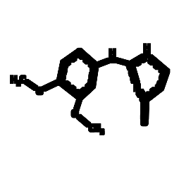 COc1ccc(Nc2nc(=O)cc[nH]2)cc1OC